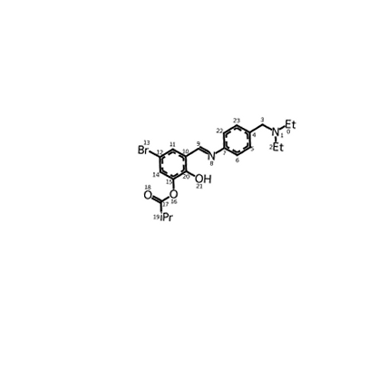 CCN(CC)Cc1ccc(N=Cc2cc(Br)cc(OC(=O)C(C)C)c2O)cc1